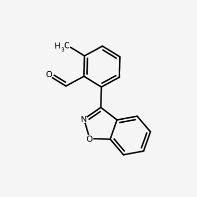 Cc1cccc(-c2noc3ccccc23)c1C=O